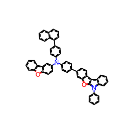 c1ccc(-n2c3ccccc3c3c4ccc(-c5ccc(N(c6ccc(-c7cccc8ccccc78)cc6)c6ccc7oc8ccccc8c7c6)cc5)cc4oc32)cc1